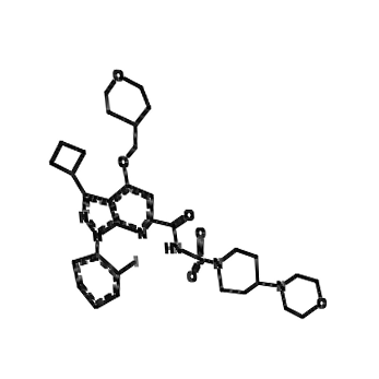 O=C(NS(=O)(=O)N1CCC(N2CCOCC2)CC1)c1cc(OCC2CCOCC2)c2c(C3CCC3)nn(-c3ccccc3I)c2n1